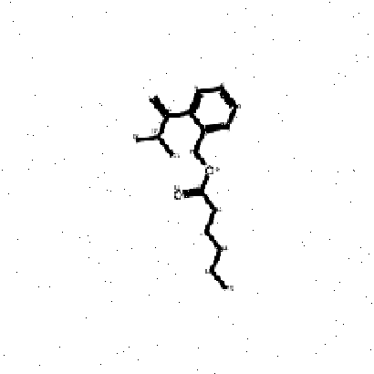 C=C(c1ccccc1COC(=O)CCCCC)C(C)C